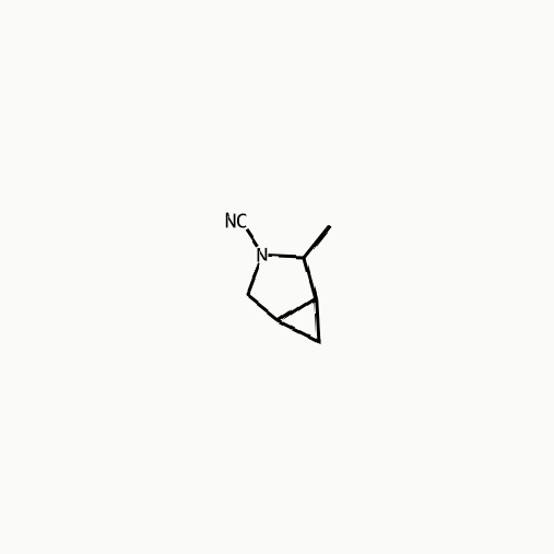 CC1C2CC2CN1C#N